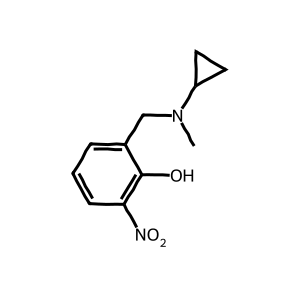 CN(Cc1cccc([N+](=O)[O-])c1O)C1CC1